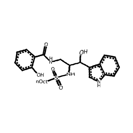 CCCCCCCCS(=O)(=O)NC(CNC(=O)c1ccccc1O)C(O)c1c[nH]c2ccccc12